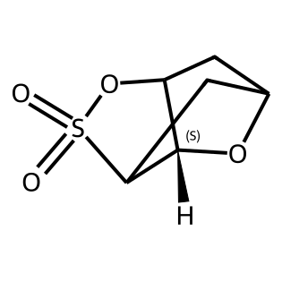 O=S1(=O)OC2CC3CC1[C@H]2O3